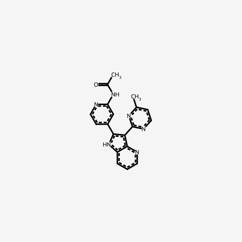 CC(=O)Nc1cc(-c2[nH]c3cccnc3c2-c2nccc(C)n2)ccn1